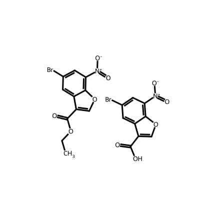 CCOC(=O)c1coc2c([N+](=O)[O-])cc(Br)cc12.O=C(O)c1coc2c([N+](=O)[O-])cc(Br)cc12